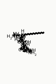 CCCCCCCCCCCCCCCC(=O)N[C@@H](CCCNC(=N)N)C(=O)N[C@@H](CO)C(=O)N[C@@H](CO)C(=O)N[C@@H](CCCNC(=N)N)C(=O)N[C@@H](CCC(=O)O)C(C)=O